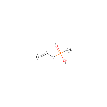 C=CCP(C)(=O)O